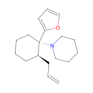 C=CC[C@H]1CCCC[C@]1(c1ccco1)N1CCCCC1